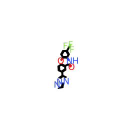 O=C1Nc2cc(C(F)(F)F)ccc2Oc2ccc(-c3cnc4ccnn4c3)cc21